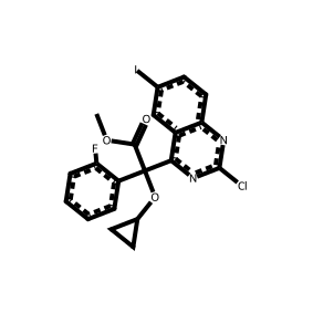 COC(=O)C(OC1CC1)(c1ccccc1F)c1nc(Cl)nc2ccc(I)cc12